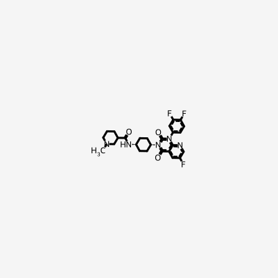 CN1CCCC(C(=O)N[C@H]2CC[C@@H](n3c(=O)c4cc(F)cnc4n(-c4ccc(F)c(F)c4)c3=O)CC2)C1